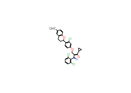 O=Cc1ccc2c(c1)CCC(c1ccc(OCc3c(-c4c(Cl)cccc4Cl)noc3C3CC3)cc1Cl)O2